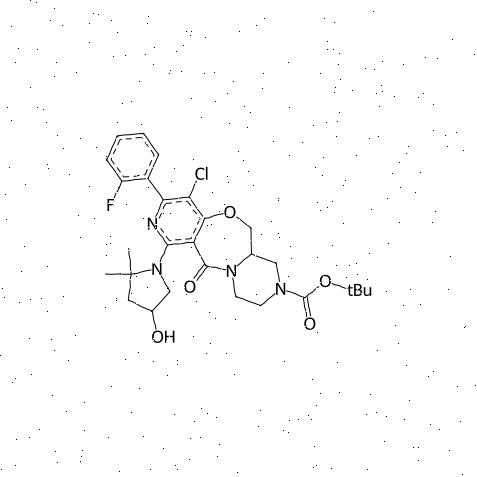 CC(C)(C)OC(=O)N1CCN2C(=O)c3c(N4CC(O)CC4(C)C)nc(-c4ccccc4F)c(Cl)c3OCC2C1